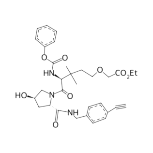 C#Cc1ccc(CNC(=O)[C@@H]2C[C@@H](O)CN2C(=O)[C@@H](NC(=O)Oc2ccccc2)C(C)(C)CCOCC(=O)OCC)cc1